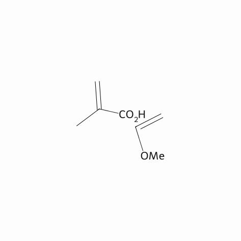 C=C(C)C(=O)O.C=COC